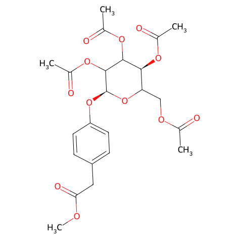 COC(=O)Cc1ccc(O[C@@H]2OC(COC(C)=O)[C@H](OC(C)=O)C(OC(C)=O)C2OC(C)=O)cc1